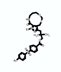 CCn1nc(CC(C)(C)COC(=O)c2ccc(S(=O)(=O)c3ccc(C(C)=O)cc3)cc2)c2c1C(=O)NCCCOCCC2